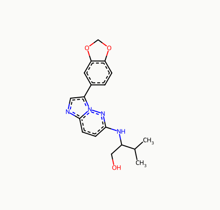 CC(C)C(CO)Nc1ccc2ncc(-c3ccc4c(c3)OCO4)n2n1